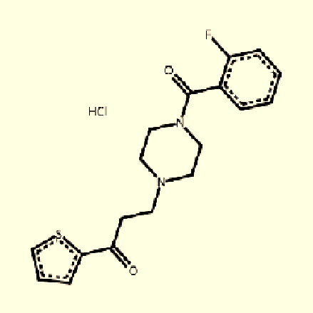 Cl.O=C(CCN1CCN(C(=O)c2ccccc2F)CC1)c1cccs1